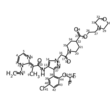 C=NN1C=CC=N/C1=C(/C)C(=O)Nc1cn(CC(=O)N2CCC(C(=O)OCCN3CCOCC3)CC2)nc1-c1cc(Cl)ccc1OC(F)F